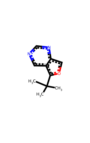 CC(C)(C)c1occ2ncncc12